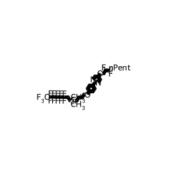 CCCCC[C@H](F)[C@@H](F)COc1cnc(-c2ccc(OCCCC[Si](C)(C)CCC(F)(F)C(F)(F)C(F)(F)C(F)(F)C(F)(F)C(F)(F)F)cc2)nc1